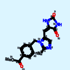 CCCCc1ncc(C=C2NC(=O)NC2=O)n1Cc1ccc(C(=O)OC)cc1